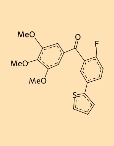 COc1cc(C(=O)c2cc(-c3cccs3)ccc2F)cc(OC)c1OC